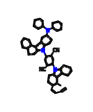 C#C/C=C\c1ccc2c(c1C)c1ccccc1n2-c1cc(C#N)c(-n2c3ccc(N(c4ccccc4)c4ccccc4)cc3c3c4ccccc4ccc32)cc1C#N